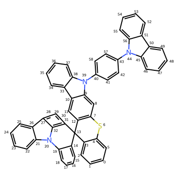 c1ccc2c(c1)Sc1cc3c(cc1C21c2ccccc2-n2c4ccccc4c4cccc1c42)c1ccccc1n3-c1ccc(-n2c3ccccc3c3ccccc32)cc1